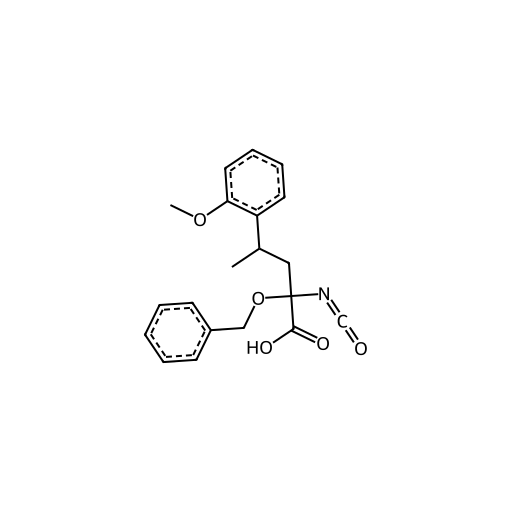 COc1ccccc1C(C)CC(N=C=O)(OCc1ccccc1)C(=O)O